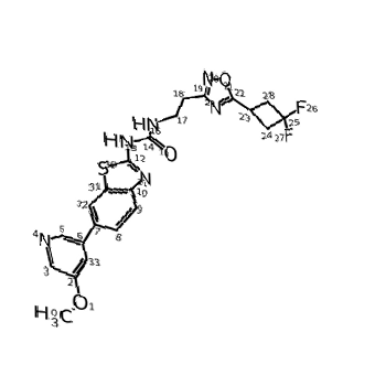 COc1cncc(-c2ccc3nc(NC(=O)NCCc4noc(C5CC(F)(F)C5)n4)sc3c2)c1